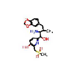 CC(Cc1ccc2c(c1)OCO2)C(N)C(O)c1ccc(O)c(CS(C)(=O)=O)n1